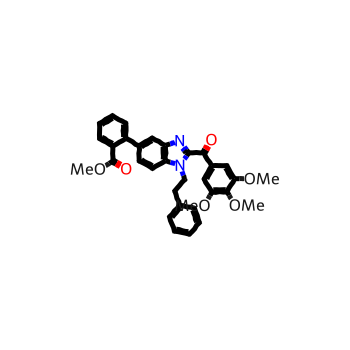 COC(=O)c1ccccc1-c1ccc2c(c1)nc(C(=O)c1cc(OC)c(OC)c(OC)c1)n2CCc1ccccc1